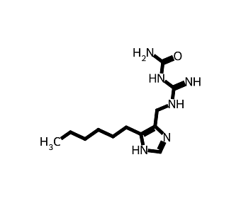 CCCCCCc1[nH]cnc1CNC(=N)NC(N)=O